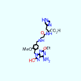 CCOc1nc(N)c2nc(O)n(Cc3ccc(CNCCC(=O)N[C@@H](Cc4c[nH]cn4)C(=O)O)cc3OC)c2n1